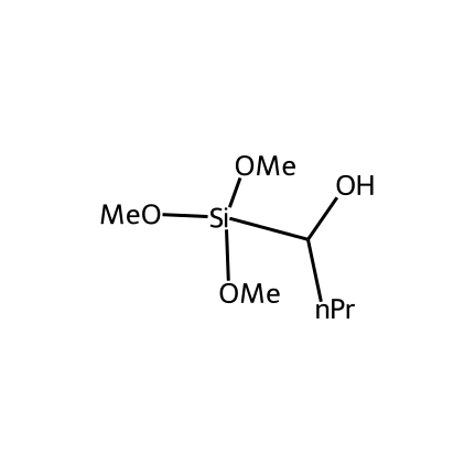 CCCC(O)[Si](OC)(OC)OC